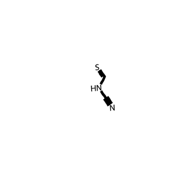 N#CNC=S